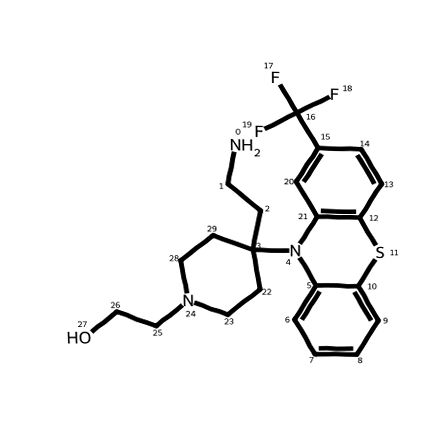 NCCC1(N2c3ccccc3Sc3ccc(C(F)(F)F)cc32)CCN(CCO)CC1